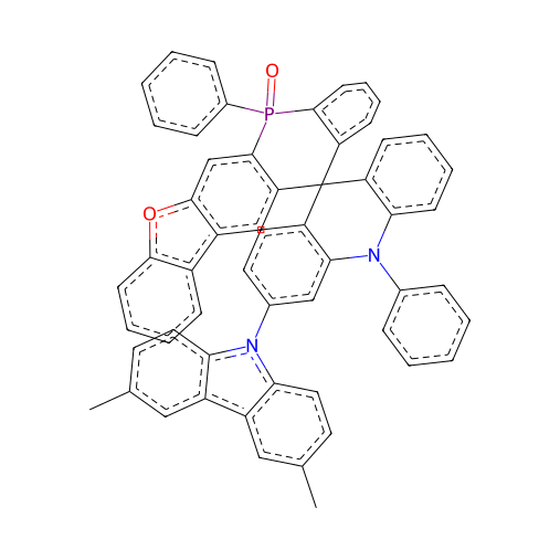 Cc1ccc2c(c1)c1cc(C)ccc1n2-c1ccc2c(c1)N(c1ccccc1)c1ccccc1C21c2ccccc2P(=O)(c2ccccc2)c2cc3oc4ccccc4c3cc21